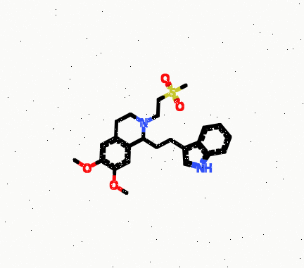 COc1cc2c(cc1OC)C(CCc1c[nH]c3ccccc13)N(CCS(C)(=O)=O)CC2